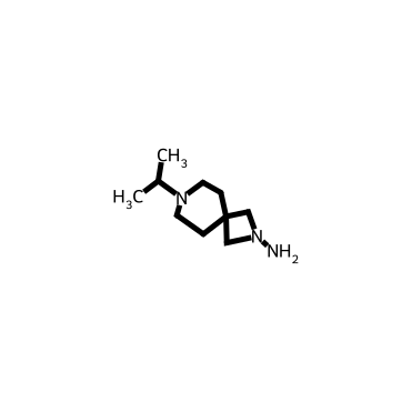 CC(C)N1CCC2(CC1)CN(N)C2